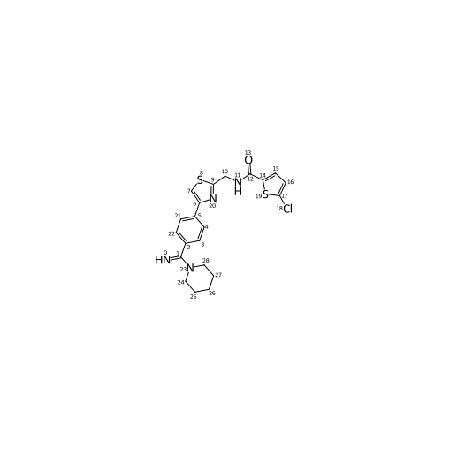 N=C(c1ccc(-c2csc(CNC(=O)c3ccc(Cl)s3)n2)cc1)N1CCCCC1